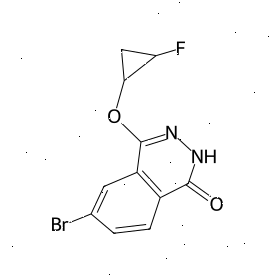 O=c1[nH]nc(OC2CC2F)c2cc(Br)ccc12